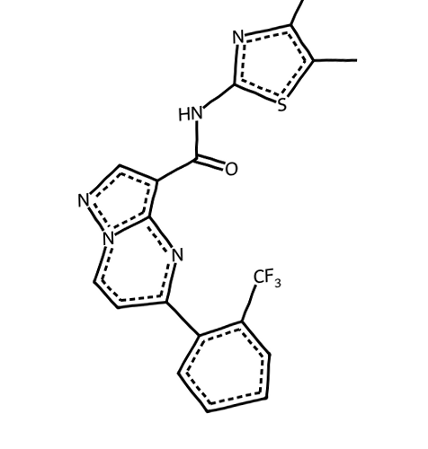 Cc1nc(NC(=O)c2cnn3ccc(-c4ccccc4C(F)(F)F)nc23)sc1C